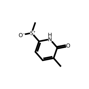 Cc1ccc([S+](C)[O-])[nH]c1=O